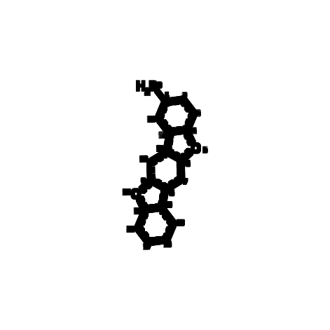 Bc1ccc2oc3cc4c(cc3c2c1)oc1ccccc14